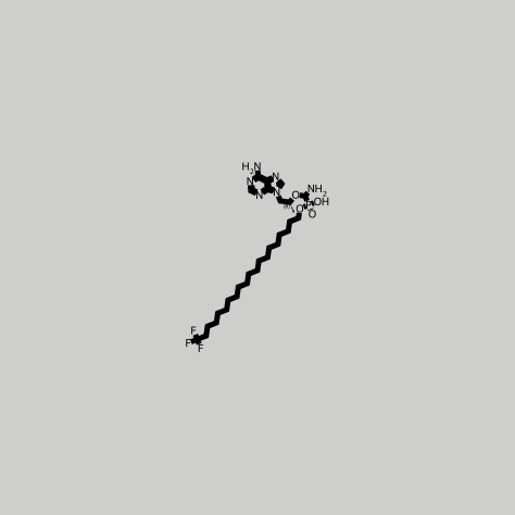 C[C@H](Cn1cnc2c(N)ncnc21)OC(N)P(=O)(O)OCCCCCCCCCCCCCCCCCCCC(F)(F)F